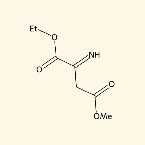 CCOC(=O)C(=N)CC(=O)OC